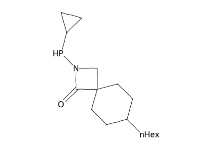 CCCCCCC1CCC2(CC1)CN(PC1CC1)C2=O